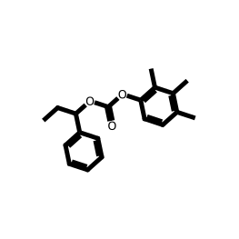 CCC(OC(=O)Oc1ccc(C)c(C)c1C)c1ccccc1